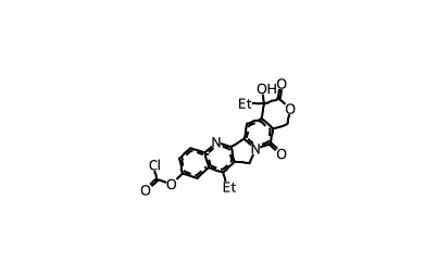 CCc1c2c(nc3ccc(OC(=O)Cl)cc13)-c1cc3c(c(=O)n1C2)COC(=O)C3(O)CC